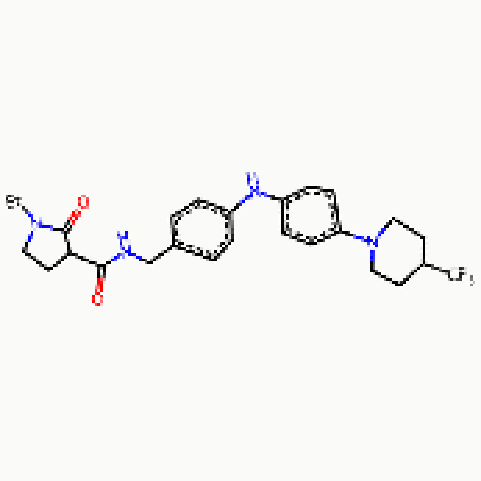 CCN1CCC(C(=O)NCc2ccc(Nc3ccc(N4CCC(C(F)(F)F)CC4)cc3)cc2)C1=O